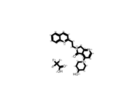 O=C(O)C(F)(F)F.O=C1c2c(N3CCC(O)CC3)ccnc2CN1CCc1ccc2ccccc2n1